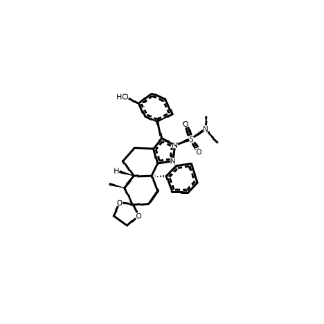 C[C@H]1[C@@H]2CCc3c(nn(S(=O)(=O)N(C)C)c3-c3cccc(O)c3)[C@@]2(c2ccccc2)CCC12OCCO2